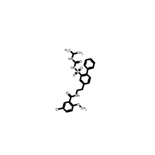 COc1ccc(Cl)cc1C(=O)NCCc1ccc(-c2ccccc2)c(S(=O)(=O)NC(=O)NC(C)C)c1